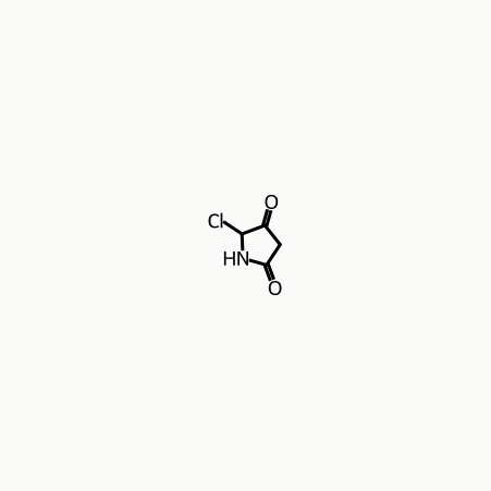 O=C1CC(=O)C(Cl)N1